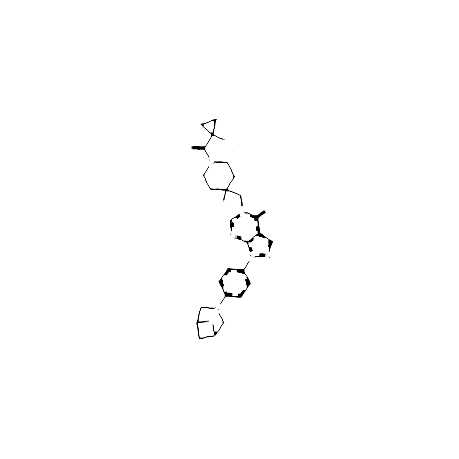 CC1(C(=O)N2CCC(O)(Cn3cnc4c(cnn4-c4ccc(N5CC6CC(C5)O6)cc4)c3=O)CC2)CC1